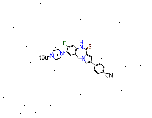 CC(C)(C)N1CCN(c2cc3c(cc2F)NC(=S)c2cc(-c4ccc(C#N)cc4)cn2C3)CC1